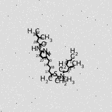 C=C/C=C\C(=C/C)CC(=C)N(C)C(=C)SC(=C)CCCCc1ccc(NC(=O)C/C(C)=C/C)nn1